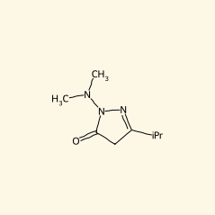 CC(C)C1=NN(N(C)C)C(=O)C1